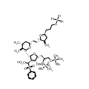 C=C1C[C@H](CCCO[Si](CC)(CC)CC)O[C@H]1CC[C@H]1C[C@@H](C)C(=C)[C@@H](C[C@@H]2O[C@H](C[C@@H](CO[Si](C)(C)C(C)(C)C)O[Si](C)(C)C(C)(C)C)[C@H](OC)[C@H]2C(C(=O)O)S(=O)(=O)c2ccccc2)O1